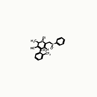 CCN1C(C[S+]([O-])c2ccccc2)=C(C(=O)O)C(c2ccccc2C(F)(F)F)=C(C#N)C1C